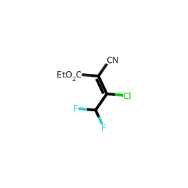 CCOC(=O)/C(C#N)=C(/Cl)C(F)F